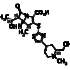 C[C@@H](O)[C@H]1C(=O)N2C(C(=O)O)=C(Sc3nc(C4=CCN(C)[C@H](CO)C4)cs3)[C@H](C)[C@H]12